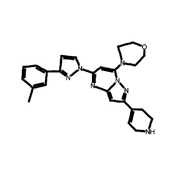 Cc1cccc(-c2ccn(-c3cc(N4CCOCC4)n4nc(C5=CCNCC5)cc4n3)n2)c1